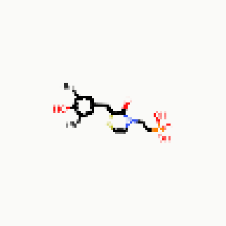 CC(C)(C)c1cc(C=C2SC=CN(CCP(=O)(O)O)C2=O)cc(C(C)(C)C)c1O